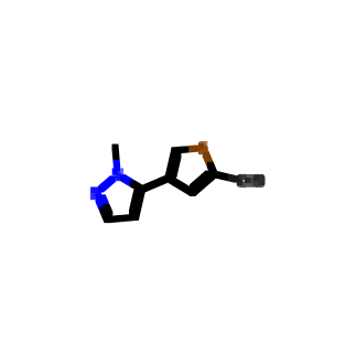 Cn1nccc1-c1csc(C=O)c1